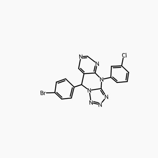 Clc1cccc(N2c3ncncc3C(c3ccc(Br)cc3)n3nnnc32)c1